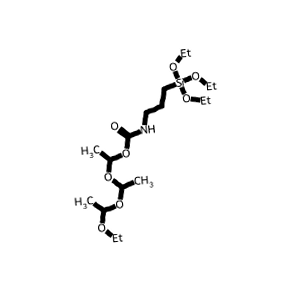 CCOC(C)OC(C)OC(C)OC(=O)NCCC[Si](OCC)(OCC)OCC